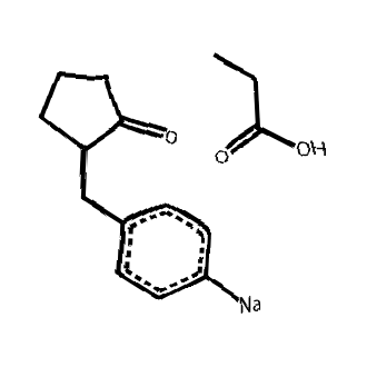 CCC(=O)O.O=C1CCCC1Cc1cc[c]([Na])cc1